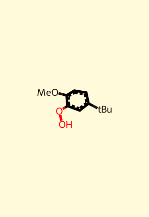 COc1ccc(C(C)(C)C)cc1OO